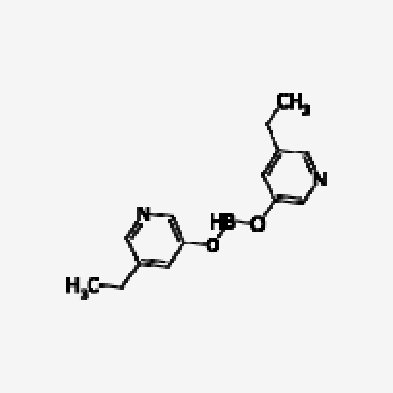 CCc1cncc(OBOc2cncc(CC)c2)c1